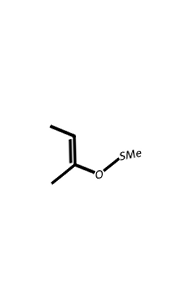 CC=C(C)OSC